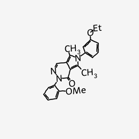 CCOc1cccc(-n2c(C)c3cnn(-c4ccccc4OC)c(=O)c3c2C)c1